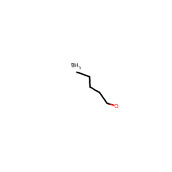 B.CCCCC[O]